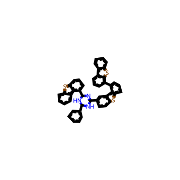 c1ccc(C2NC(c3ccc4sc5cccc(-c6cccc7c6sc6ccccc67)c5c4c3)=NC(c3cccc4sc5ccccc5c34)N2)cc1